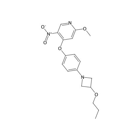 CCCOC1CN(c2ccc(Oc3cc(OC)ncc3[N+](=O)[O-])cc2)C1